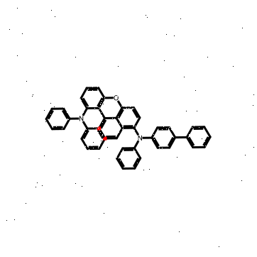 c1ccc(-c2ccc(N(c3ccccc3)c3ccc4c5c(cccc35)-c3c(cccc3N(c3ccccc3)c3ccccc3)O4)cc2)cc1